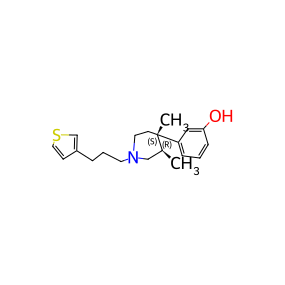 C[C@H]1CN(CCCc2ccsc2)CC[C@]1(C)c1cccc(O)c1